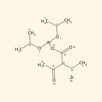 CC(C)[O][Al+][O]C(C)C.CCC(C(C)=O)C(=O)[O-].[Zr]